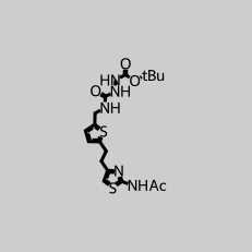 CC(=O)Nc1nc(CCc2ccc(CNC(=O)NNC(=O)OC(C)(C)C)s2)cs1